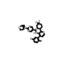 O=C(Nc1c(-c2cc(F)ccc2F)ccnc1C1CCC(F)(F)CC1)c1cnc(N2CC3CC2CO3)nc1